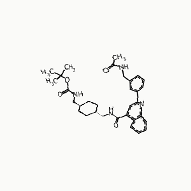 CC(=O)NCc1cccc(-c2cc(C(=O)NC[C@H]3CC[C@H](CNC(=O)OC(C)(C)C)CC3)c3ccccc3n2)c1